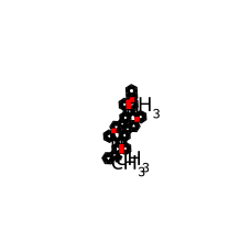 CC1CC2CCCC(C1)C2c1ccc(N(c2ccccc2)c2cc3c(cc2-c2ccccc2)-c2ccccc2C32c3ccccc3-c3cc(-c4ccccc4)c(N(c4ccccc4)c4ccc5c(c4)-c4ccccc4C5(C)C)cc32)cc1